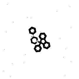 c1ccc([C@H]2CCCN(C3(c4ccccc4)c4ccccc4-c4ccccc43)C2)cc1